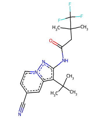 CC(C)(C)c1c(NC(=O)CC(C)(C)C(F)(F)F)nn2ccc(C#N)cc12